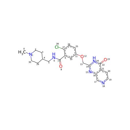 CN1CCC(CNC(=O)c2cc(OCc3nc4cnccc4c(=O)[nH]3)ccc2Cl)CC1